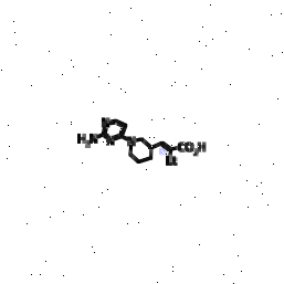 CC/C(=C\C1CCCN(c2ccnc(N)n2)C1)C(=O)O